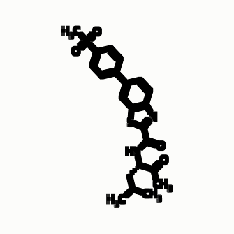 CC(=O)[C@H](CC(C)C)NC(=O)c1nc2ccc(-c3ccc(S(C)(=O)=O)cc3)cc2s1